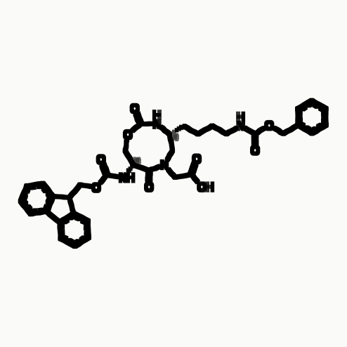 O=C(O)CN1C[C@@H](CCCCNC(=O)OCc2ccccc2)NC(=O)OC[C@@H](NC(=O)OCC2c3ccccc3-c3ccccc32)C1=O